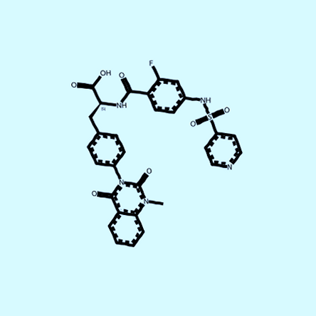 Cn1c(=O)n(-c2ccc(C[C@H](NC(=O)c3ccc(NS(=O)(=O)c4ccncc4)cc3F)C(=O)O)cc2)c(=O)c2ccccc21